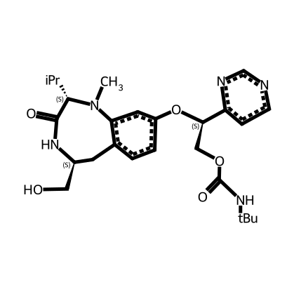 CC(C)[C@H]1C(=O)N[C@H](CO)Cc2ccc(O[C@H](COC(=O)NC(C)(C)C)c3ccncn3)cc2N1C